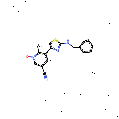 Cc1c(-c2csc(NCc3ccccc3)n2)cc(C#N)c[n+]1[O-]